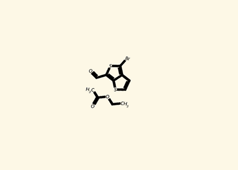 CCOC(C)=O.O=Cc1sc(Br)c2ccsc12